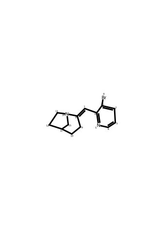 Brc1cccnc1C=C1CCC2CCN1C2